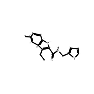 CCc1c(C(=O)NCc2cccs2)oc2ccc(C)cc12